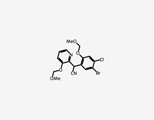 COCOc1cc(Cl)c(Br)cc1C(C#N)c1ncccc1OCOC